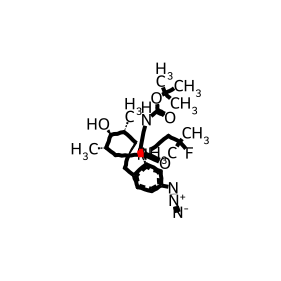 C[C@@H]1C[C@@]2(Cc3ccc(N=[N+]=[N-])cc3[C@]23N=C(NC(=O)OC(C)(C)C)N(CC(C)(C)F)C3=O)C[C@H](C)[C@H]1O